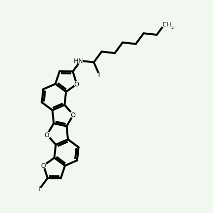 CCCCCCCC(I)Nc1cc2ccc3c(oc4c5ccc6cc(I)oc6c5oc34)c2o1